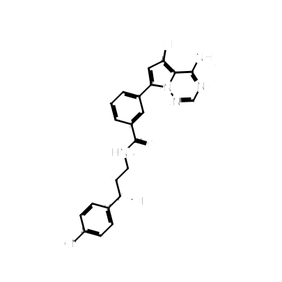 Nc1ncnn2c(-c3cccc(C(=O)NCC[C@H](O)c4ccc(Cl)cc4)c3)cc(C(F)(F)F)c12